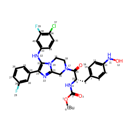 CC(C)(C)OC(=O)N[C@@H](Cc1ccc(NO)cc1)C(=O)N1CCn2c(nc(-c3cccc(F)c3)c2Nc2ccc(Cl)c(F)c2)C1